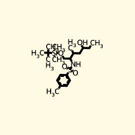 CCC(O)CC(C)C(CO[Si](C)(C)C(C)(C)C)NS(=O)(=O)c1ccc(C)cc1